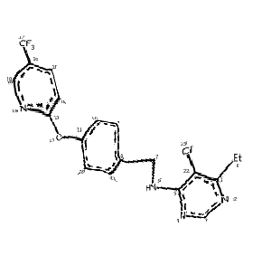 CCc1ncnc(NCc2ccc(Oc3ccc(C(F)(F)F)cn3)cc2)c1Cl